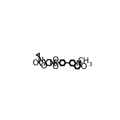 Cn1c(=O)ccc2cc(-c3ccc(S(=O)(=O)N4CCC5(CC4)CN(C4CC4)C(=O)CO5)cc3)ccc21